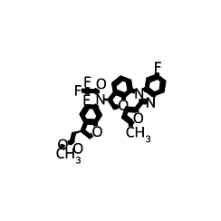 COC(=O)C[C@@H]1COc2cc(N(C(=O)C(F)(F)F)[C@@H]3COc4c3cccc4-n3c(-c4ccc(C)o4)nc4ccc(F)cc43)ccc21